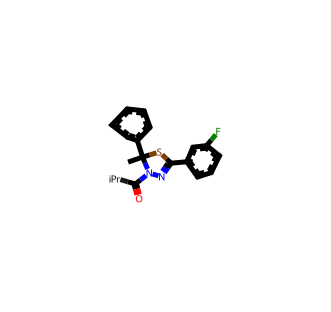 CC(C)C(=O)N1N=C(c2cccc(F)c2)SC1(C)c1ccccc1